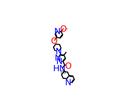 COc1ccc(OC2CCN(c3nnc(C(=O)N[C@H]4CCc5ncccc5C4)cc3C)CC2)cn1